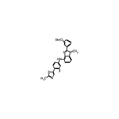 COc1cccc(-c2nc3c(Nc4ccc(-c5cnc(C)o5)c(F)c4)cccc3n2C)c1